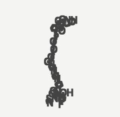 O=C1CCC(N2C(=O)c3cccc(SCCOCCOCCOCC(=O)N4CCN(C5CCN(c6ccc7c(c6)C(=O)N(C(C(=O)Nc6nccs6)c6cc(F)ccc6O)C7)CC5)CC4)c3C2=O)C(=O)N1